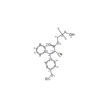 CCOc1ccc(/C(=C(\C#N)C(=O)OCC(C)(C)CO)c2ccccc2)cc1